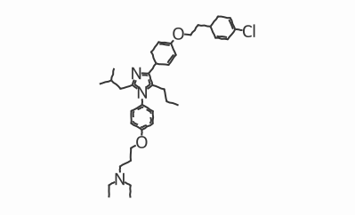 CCCc1c(C2C=CC(OCCC3C=CC(Cl)=CC3)=CC2)nc(CC(C)C)n1-c1ccc(OCCCN(CC)CC)cc1